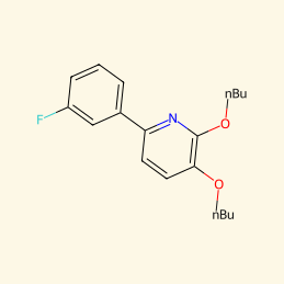 CCCCOc1ccc(-c2cccc(F)c2)nc1OCCCC